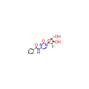 O=C(Nc1ccn([C@@H]2O[C@H](CO)[C@@H](O)C2F)c(=O)n1)c1ccccc1